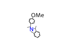 COc1ccc(C(C)N2Cc3ccccc3C2C)cc1